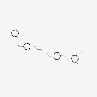 COc1cc(/N=N/c2cc[n+](CCCCCC[n+]3ccc(/C=N\N(C)c4ccccc4)cc3)cc2)c(N)c(OC)c1